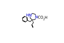 C=CC[C@@]1(Cc2ccccc2)CNCCN(C(=O)O)C1